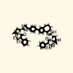 CCN(CC)[C@@H](C(=O)N1[C@@H]2CC2C[C@H]1c1ncc(-c2ccc(-c3ccc4c(c3)CCCc3[nH]c([C@@H]5C[C@H]6C[C@H]6N5C(=O)[C@@H](c5ccccc5)N(CC)CC)nc3-4)cc2)[nH]1)c1ccccc1